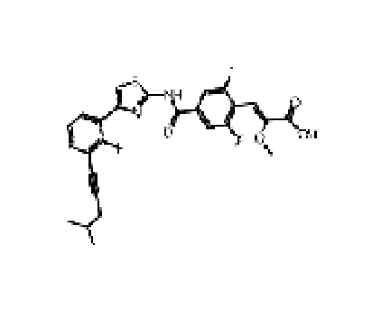 COC(=Cc1c(F)cc(C(=O)Nc2nc(-c3cccc(C#CCC(C)C)c3F)cs2)cc1F)C(=O)O